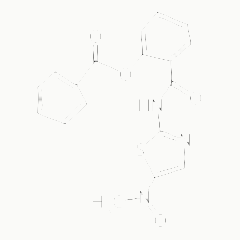 C[N+](=O)c1cnc(NC(=O)c2ccccc2OC(=O)c2ccccc2)s1